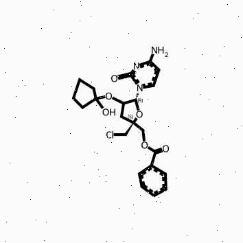 Nc1ccn([C@@H]2O[C@](CCl)(COC(=O)c3ccccc3)CC2OC2(O)CCCC2)c(=O)n1